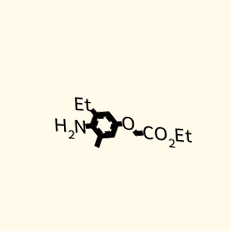 CCOC(=O)COc1cc(C)c(N)c(CC)c1